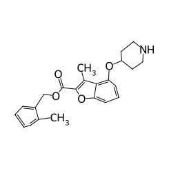 Cc1ccccc1COC(=O)c1oc2cccc(OC3CCNCC3)c2c1C